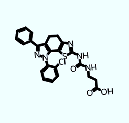 O=C(O)CCNC(=O)Nc1nc2c(s1)-c1c(c(-c3ccccc3)nn1-c1ccccc1Cl)CC2